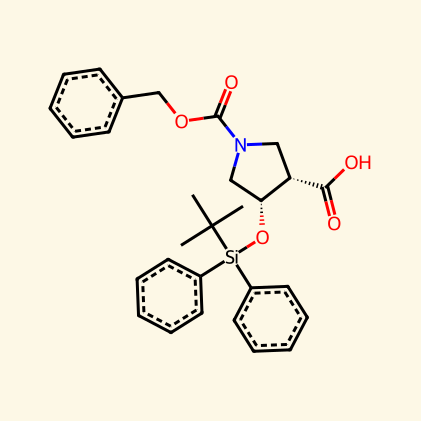 CC(C)(C)[Si](O[C@@H]1CN(C(=O)OCc2ccccc2)C[C@@H]1C(=O)O)(c1ccccc1)c1ccccc1